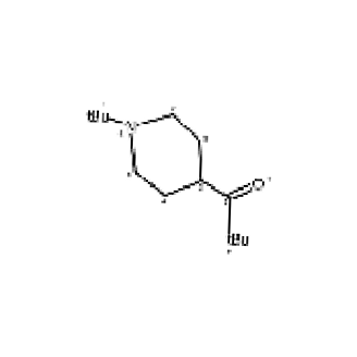 CC(C)(C)C(=O)C1CCN(C(C)(C)C)CC1